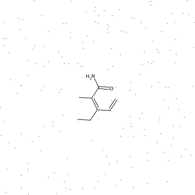 C=CC(CC)=C(C)C(N)=O